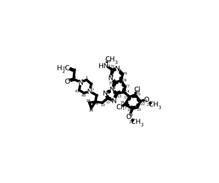 C=CC(=O)N1CCN(CC2(Cc3nc4c(-c5c(Cl)c(OC)cc(OC)c5Cl)cc5cnc(NC)nc5n4n3)CC2)CC1